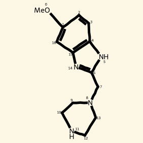 COc1ccc2[nH]c(CN3CCNCC3)nc2c1